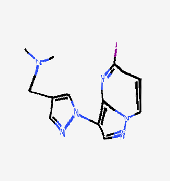 CN(C)Cc1cnn(-c2cnn3ccc(I)nc23)c1